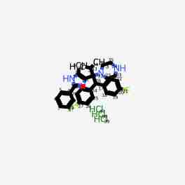 Cc1[nH]c(-c2ccccc2)nc1C(C(C)C)(C(c1ccc(F)cc1)c1ccc(F)cc1)N1CCNCC1.Cl.Cl.Cl